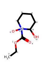 CCOC(=O)[N+]1([O-])CCCCC1O